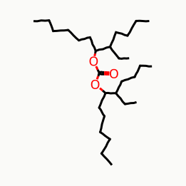 CCCCCCC(OC(=O)OC(CCCCCC)C(CC)CCCC)C(CC)CCCC